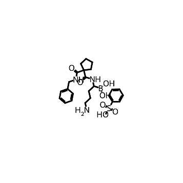 NCCCC(NC(=O)C1(C(=O)NCc2ccccc2)CCCC1)B(O)O.O=S(=O)(O)c1ccccc1